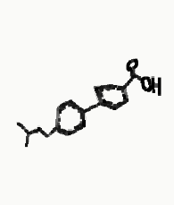 CC(C)CCc1ccc(-c2ccc(C(=O)O)cc2)cc1